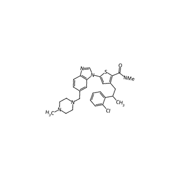 CNC(=O)c1sc(-n2cnc3ccc(CN4CCN(C)CC4)cc32)cc1CC(C)c1ccccc1Cl